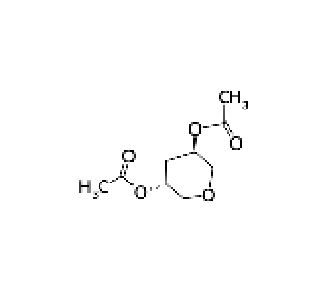 CC(=O)O[C@H]1COC[C@H](OC(C)=O)C1